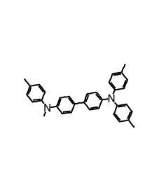 Cc1ccc(N(C)c2ccc(-c3ccc(N(c4ccc(C)cc4)c4ccc(C)cc4)cc3)cc2)cc1